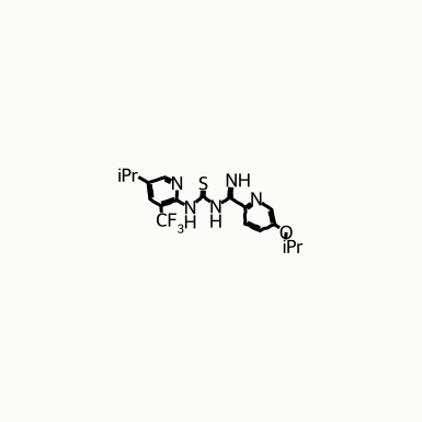 CC(C)Oc1ccc(C(=N)NC(=S)Nc2ncc(C(C)C)cc2C(F)(F)F)nc1